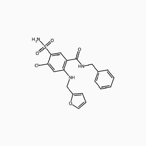 NS(=O)(=O)c1cc(C(=O)NCc2ccccc2)c(NCc2ccco2)cc1Cl